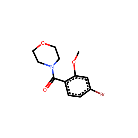 COc1cc(Br)ccc1C(=O)N1CCOCC1